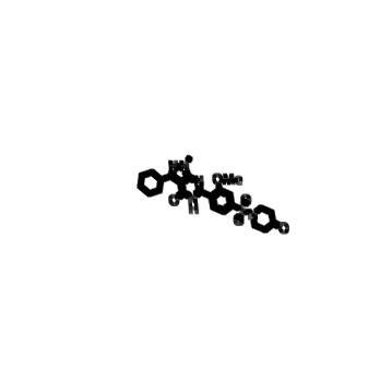 COc1cc(S(=O)(=O)N2CCC(=O)CC2)ccc1-c1nc2c(c(C3CCCCC3)nn2C)c(=O)[nH]1